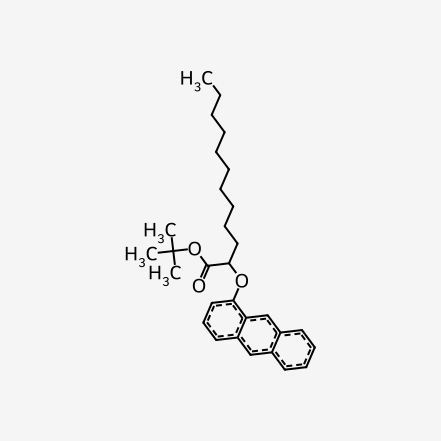 CCCCCCCCCCC(Oc1cccc2cc3ccccc3cc12)C(=O)OC(C)(C)C